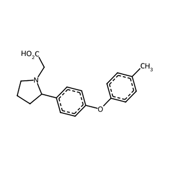 Cc1ccc(Oc2ccc(C3CCCN3CC(=O)O)cc2)cc1